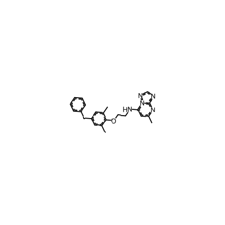 Cc1cc(NCCOc2c(C)cc(Cc3ccccc3)cc2C)n2ncnc2n1